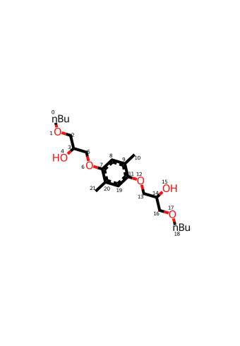 CCCCOCC(O)COc1cc(C)c(OCC(O)COCCCC)cc1C